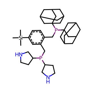 C[Si](C)(C)c1ccc(CP(C23CC4CC(CC(C4)C2)C3)C23CC4CC(CC(C4)C2)C3)c(CP(C2CCNC2)C2CCNC2)c1